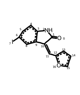 O=C1Nc2ccc(I)cc2C1=Cc1ccco1